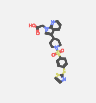 O=C(O)Cn1cc(C2CCN(S(=O)(=O)c3ccc(Sc4nccs4)cc3)CC2)c2cccnc21